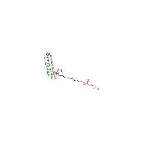 C=CCC(=O)OCCCCCCCCCCN(C)S(=O)(=O)C(F)(F)C(F)(F)C(F)(F)C(F)(F)C(F)(F)C(F)(F)C(F)(F)C(F)(F)F